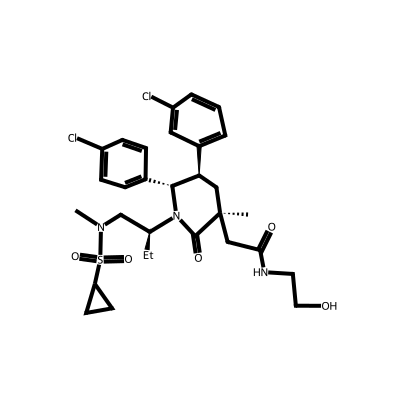 CC[C@@H](CN(C)S(=O)(=O)C1CC1)N1C(=O)[C@](C)(CC(=O)NCCO)C[C@H](c2cccc(Cl)c2)[C@H]1c1ccc(Cl)cc1